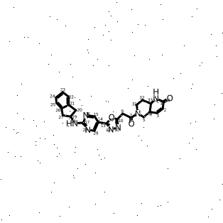 O=C1C=CC2CN(C(=O)Cc3nnc(-c4cnc(NC5Cc6ccccc6C5)nc4)o3)CCC2N1